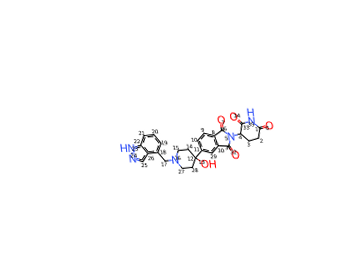 O=C1CCC(N2C(=O)c3ccc(C4(O)CCN(Cc5cccc6[nH]ncc56)CC4)cc3C2=O)C(=O)N1